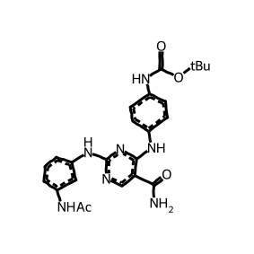 CC(=O)Nc1cccc(Nc2ncc(C(N)=O)c(Nc3ccc(NC(=O)OC(C)(C)C)cc3)n2)c1